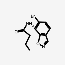 Brc1ccc2cnoc2c1.CCCC(N)=O